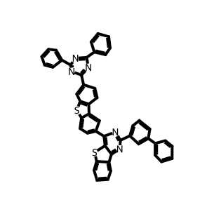 c1ccc(-c2cccc(-c3nc(-c4ccc5sc6cc(-c7nc(-c8ccccc8)nc(-c8ccccc8)n7)ccc6c5c4)c4sc5ccccc5c4n3)c2)cc1